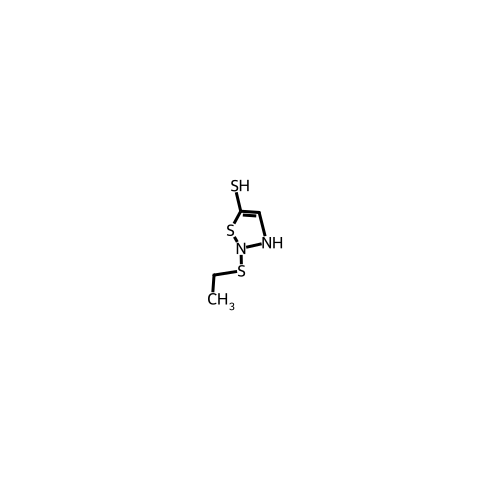 CCSN1NC=C(S)S1